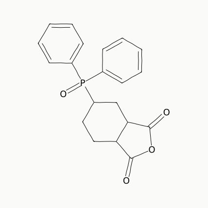 O=C1OC(=O)C2CC(P(=O)(c3ccccc3)c3ccccc3)CCC12